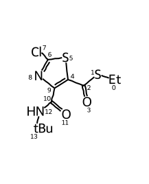 CCSC(=O)c1sc(Cl)nc1C(=O)NC(C)(C)C